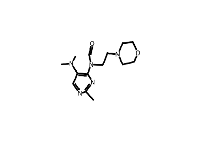 Cc1ncc(N(C)C)c(N(C=O)CCN2CCOCC2)n1